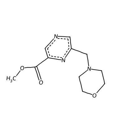 COC(=O)c1cncc(CN2CCOCC2)n1